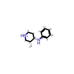 C[C@@H]1CNCC[C@@H]1Nc1ccccc1